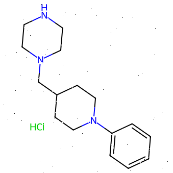 Cl.c1ccc(N2CCC(CN3CCNCC3)CC2)cc1